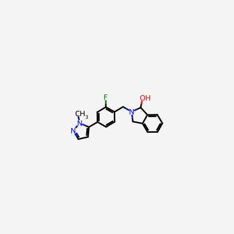 Cn1nccc1-c1ccc(CN2Cc3ccccc3C2O)c(F)c1